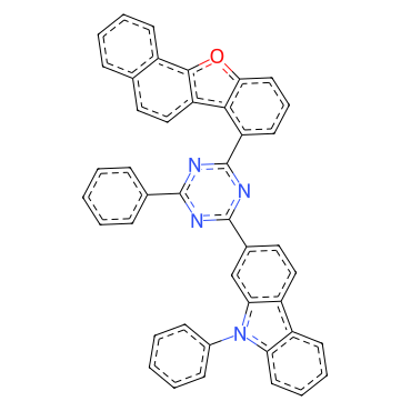 c1ccc(-c2nc(-c3ccc4c5ccccc5n(-c5ccccc5)c4c3)nc(-c3cccc4oc5c6ccccc6ccc5c34)n2)cc1